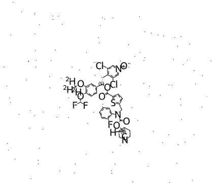 [2H]C([2H])([2H])Oc1cc([C@H](Cc2c(Cl)c[n+]([O-])cc2Cl)OC(=O)c2ccc(CN(C(=O)O[C@H]3CN4CCC3CC4)c3ccccc3F)s2)ccc1OC(F)F